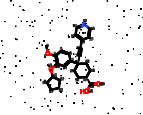 COc1ccc([C@]2(C#Cc3ccncc3)CC[C@@H](C(=O)O)CC2)cc1OC1CCCC1